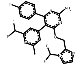 Cc1cc(-c2c(OCc3nccn3C(F)F)nc(N)nc2-c2ccc(F)cc2)cc(C(F)F)n1